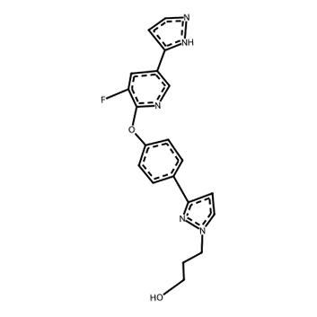 OCCCn1ccc(-c2ccc(Oc3ncc(-c4ccn[nH]4)cc3F)cc2)n1